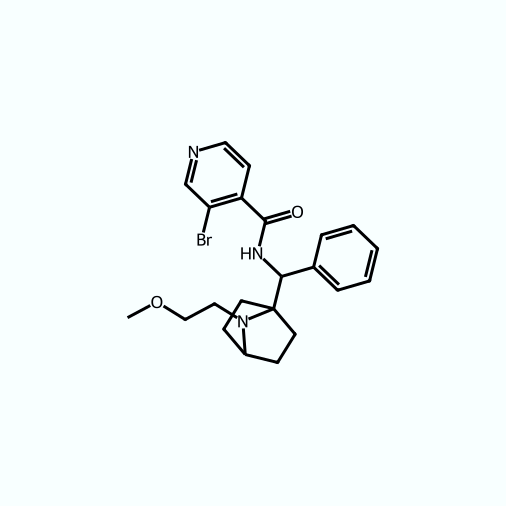 COCCN1C2CCC1(C(NC(=O)c1ccncc1Br)c1ccccc1)CC2